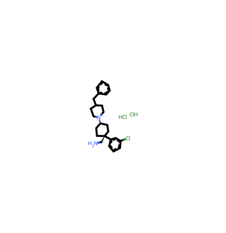 Cl.Cl.NC[C@]1(c2cccc(Cl)c2)CC[C@H](N2CCC(Cc3ccccc3)CC2)CC1